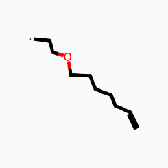 [CH2]CCOCCCCCC=C